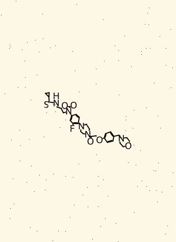 O=C(COc1ccc(CN2CCOCC2)cc1)N1CCN(c2ccc(N3CC(CNC(=S)C4CC4)OC3=O)cc2F)CC1